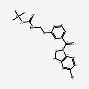 CC(C)(C)OC(=O)NCCc1cccc(C(=O)N2CCc3cc(Br)ccc32)c1